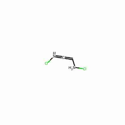 Cl[SiH]=C=C[SiH2]Cl